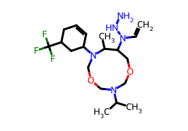 C=CN(NN)C1COCN(C(C)C)COCN(C2C=CCC(C(F)(F)F)C2)C1C